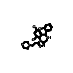 Clc1cc(Cl)c2c(c1)C(c1ccccc1Cl)NCc1nnc(CCN3CCOCC3)n1-2